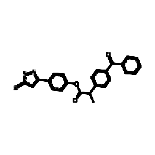 CC(C(=O)Oc1ccc(-c2cc(=S)ss2)cc1)c1ccc(C(=O)c2ccccc2)cc1